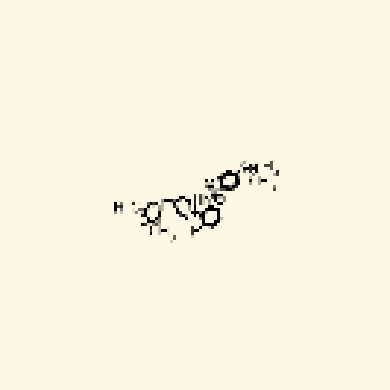 C[C@@H]1CN(CC2CCN(c3c(F)cccc3NS(=O)(=O)c3ccc(SN(C)C)cc3)CC2)C[C@H](C)O1